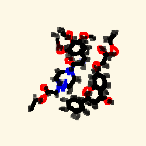 CCOC(=O)CN1CCN(C(=O)/C=C\c2cc(OC)c(OC)c(OC)c2)CC1.CCOC(=O)COc1ccc2c(=O)cc(-c3ccccc3)oc2c1